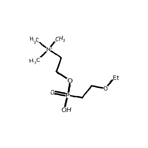 CCOCCP(=O)(O)OCC[N+](C)(C)C